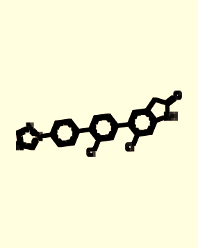 O=C1Cc2cc(-c3ccc(-c4ccc(-n5cncn5)cc4)c(Cl)c3)c(Cl)cc2N1